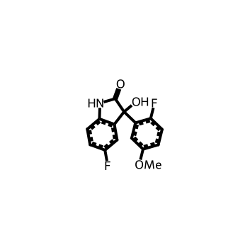 COc1ccc(F)c(C2(O)C(=O)Nc3ccc(F)cc32)c1